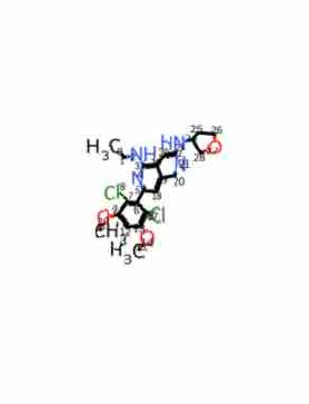 CCNc1nc(-c2c(Cl)c(OC)cc(OC)c2Cl)cc2cnc(NC3CCOC3)cc12